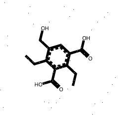 CCc1c(CO)cc(C(=O)O)c(CC)c1C(=O)O